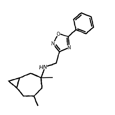 CC1CC2CC2CC(C)(NCc2noc(-c3ccccc3)n2)C1